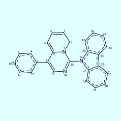 C1=CCN2C(=C1)C(c1ccncc1)=CN=C2n1c2ccccc2c2ccccc21